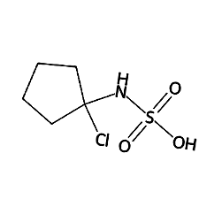 O=S(=O)(O)NC1(Cl)CCCC1